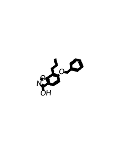 CCCc1c(OCc2ccccc2)ccc2c(O)noc12